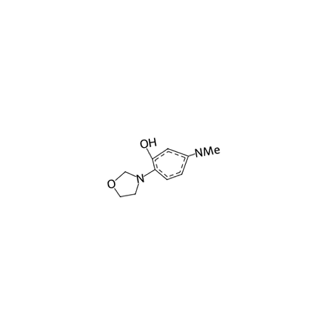 CNc1ccc(N2CCOC2)c(O)c1